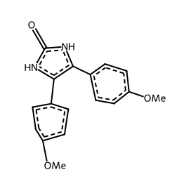 COc1ccc(-c2[nH]c(=O)[nH]c2-c2ccc(OC)cc2)cc1